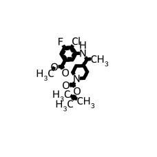 COC(=O)c1cc(F)c(Cl)c(NC(C)C2CCN(C(=O)OC(C)(C)C)CC2)c1